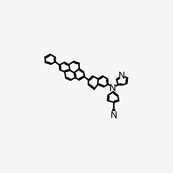 N#Cc1ccc(N(c2cccnc2)c2ccc3cc(-c4cc5ccc6cc(-c7ccccc7)cc7ccc(c4)c5c67)ccc3c2)cc1